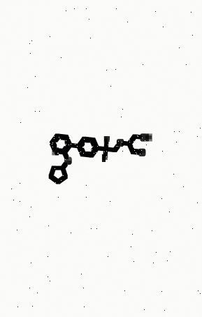 O=CC(CO)OCC(F)(F)c1ccc(-c2cccnc2OC2CCCC2)cc1